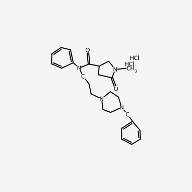 CN1CC(C(=O)N(CCCN2CCN(Cc3ccccc3)CC2)c2ccccc2)CC1=O.Cl.Cl